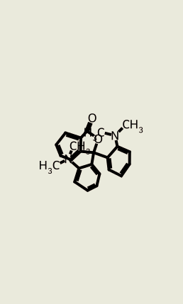 CN(C)c1ccccc1C1(c2ccccc2N(C)C)OC(=O)c2ccccc21